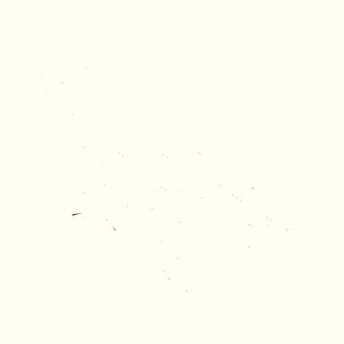 CC(C(=O)N(C)c1cc(B(O)O)c2nc(-c3nn(COCC[Si](C)(C)C)c4c3C[C@@H]3C[C@]3(C)C4)n(COCC[Si](C)(C)C)c2c1)N1CCOCC1